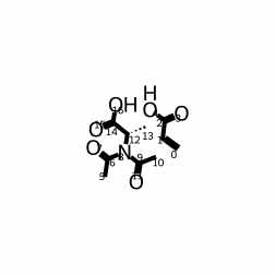 C=CC(=O)O.CC(=O)N(C(C)=O)[C@@H](C)C(=O)O